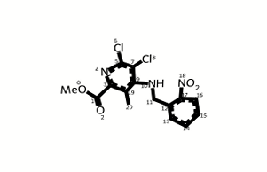 COC(=O)c1nc(Cl)c(Cl)c(NCc2ccccc2[N+](=O)[O-])c1C